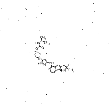 CC(C)NC(=O)O[C@@H]1CC[C@H](c2cc(Nc3nccn4nc(CS(C)(=N)=O)cc34)n[nH]2)C1